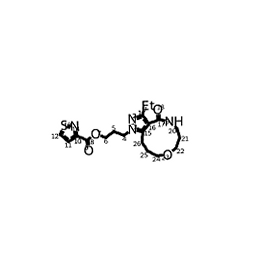 CCc1nn(CCCOC(=O)c2ccsn2)c2c1C(=O)NCCCOCCC2